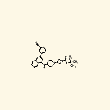 CC(C)(C)OC(=O)N1CC(N2CCC(Nc3cc(-c4cccc(C#N)c4)cc4ccncc34)CC2)C1